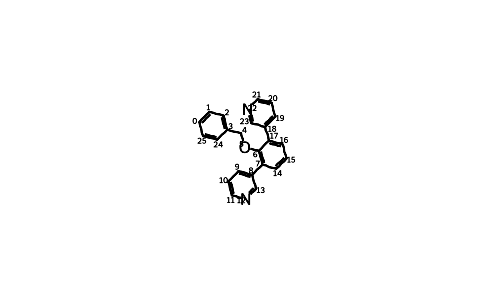 c1ccc(COc2c(-c3cccnc3)cccc2-c2cccnc2)cc1